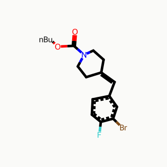 CCCCOC(=O)N1CCC(=Cc2ccc(F)c(Br)c2)CC1